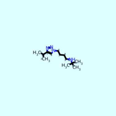 CC(C)c1cn(CCCCNC(C)(C)C)nn1